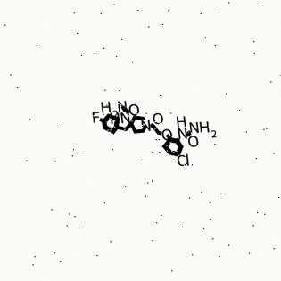 NC(=O)Nc1cc(Cl)ccc1OCC(=O)N1CCC(Cc2ccc(F)cc2)(NC(N)=O)CC1